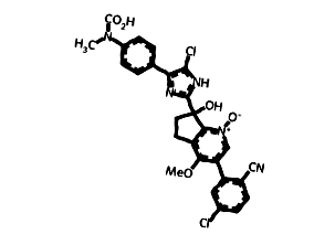 COc1c(-c2cc(Cl)ccc2C#N)c[n+]([O-])c2c1CCC2(O)c1nc(-c2ccc(N(C)C(=O)O)cc2)c(Cl)[nH]1